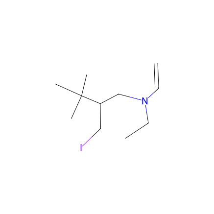 C=CN(CC)CC(CI)C(C)(C)C